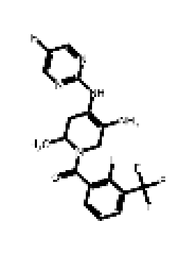 CC1CC(Nc2ncc(F)cn2)=C(N)CN1C(=O)c1cccc(C(F)(F)F)c1F